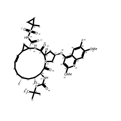 CC[C@@H]1C[C@H](C)CC/C=C\C2C[C@@]2(C(=O)NS(=O)(=O)C2(C)CC2)NC(=O)[C@@H]2C[C@@H](Oc3cc(OC)nc4cc(OC)c(F)cc34)CN2C(=O)[C@H]1NC(=O)OC(C)(C)C(F)(F)F